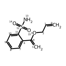 C=CCOC(=C)c1ccccc1S(N)(=O)=O